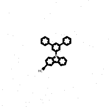 C#Cc1ccc2c(c1)c1ccccc1n2-c1cc(-c2ccccc2)cc(-c2ccccc2)c1